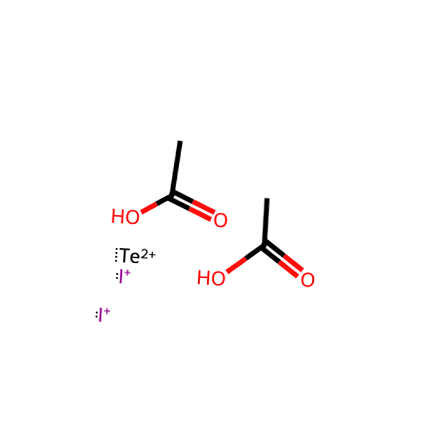 CC(=O)O.CC(=O)O.[I+].[I+].[Te+2]